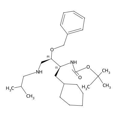 CC(C)CNC[C@@H](OCc1ccccc1)[C@H](CC1CCCCC1)NC(=O)OC(C)(C)C